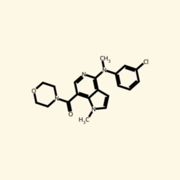 CN(c1cccc(Cl)c1)c1ncc(C(=O)N2CCOCC2)c2c1ccn2C